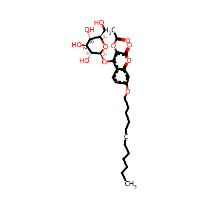 CCCCCCCCCCCCOc1ccc2c(O[C@@H]3O[C@H](CO)[C@@H](O)[C@H](O)[C@H]3O)c(OC(C)=O)c(=O)oc2c1